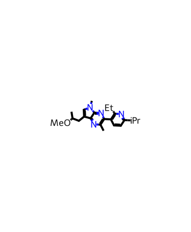 CCc1nc(C(C)C)ccc1-c1nc2c(nc1C)c(CC(C)OC)cn2C